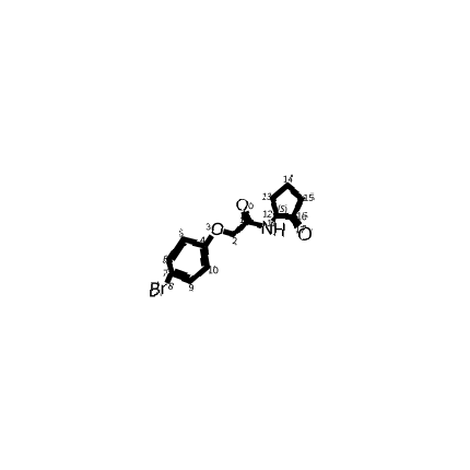 O=C(COc1ccc(Br)cc1)N[C@H]1CCCC1=O